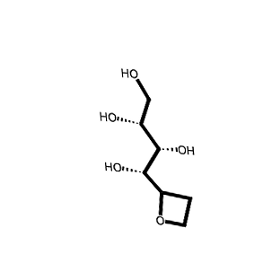 OC[C@@H](O)[C@H](O)[C@@H](O)C1CCO1